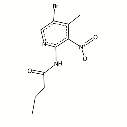 CCCC(=O)Nc1ncc(Br)c(C)c1[N+](=O)[O-]